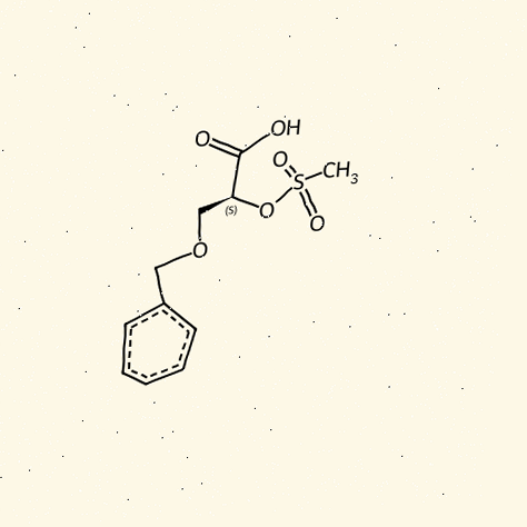 CS(=O)(=O)O[C@@H](COCc1ccccc1)C(=O)O